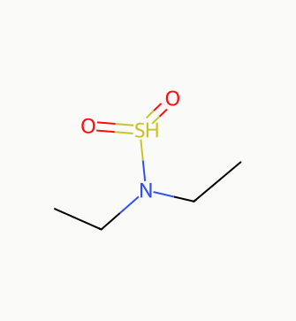 CCN(CC)[SH](=O)=O